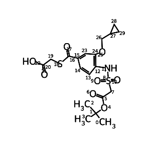 CC(C)(C)OC(=O)CS(=O)(=O)Nc1ccc(C(=O)SCC(=O)O)cc1OCC1CC1